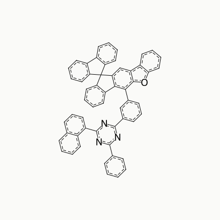 c1ccc(-c2nc(-c3cccc(-c4c5c(cc6c4oc4ccccc46)C4(c6ccccc6-c6ccccc64)c4ccccc4-5)c3)nc(-c3cccc4ccccc34)n2)cc1